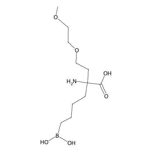 COCCOCCC(N)(CCCCB(O)O)C(=O)O